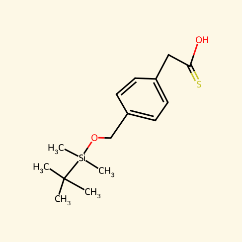 CC(C)(C)[Si](C)(C)OCc1ccc(CC(O)=S)cc1